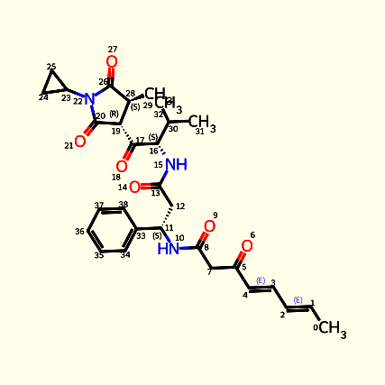 C/C=C/C=C/C(=O)CC(=O)N[C@@H](CC(=O)N[C@H](C(=O)[C@@H]1C(=O)N(C2CC2)C(=O)[C@H]1C)C(C)C)c1ccccc1